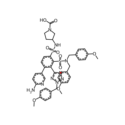 COc1ccc(CN(Cc2ccc(OC)cc2)S(=O)(=O)c2c(S(=O)(=O)NC3CCN(C(=O)O)C3)ccc(-c3ccc(N)nc3)c2-c2nnn(Cc3ccc(OC)cc3)n2)cc1